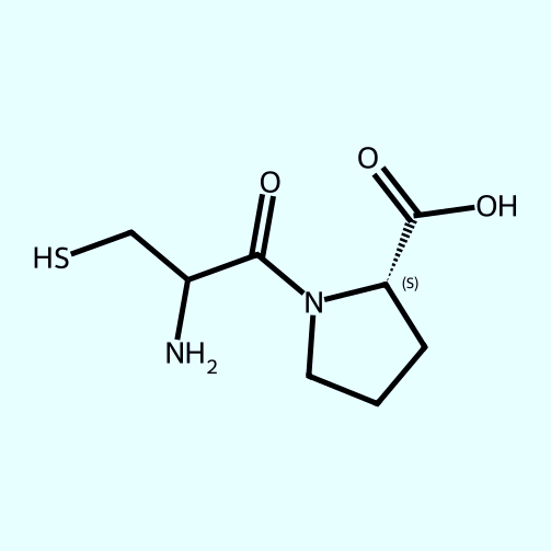 NC(CS)C(=O)N1CCC[C@H]1C(=O)O